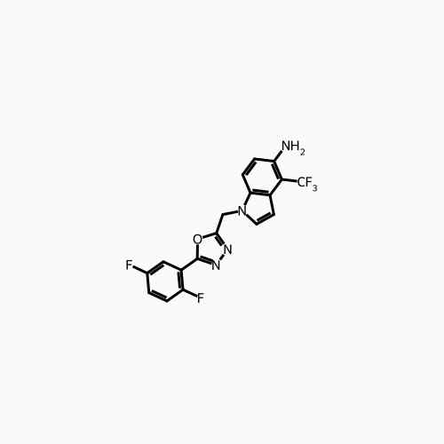 Nc1ccc2c(ccn2Cc2nnc(-c3cc(F)ccc3F)o2)c1C(F)(F)F